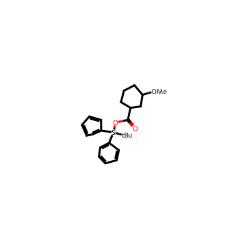 COC1CCCC(C(=O)O[Si](c2ccccc2)(c2ccccc2)C(C)(C)C)C1